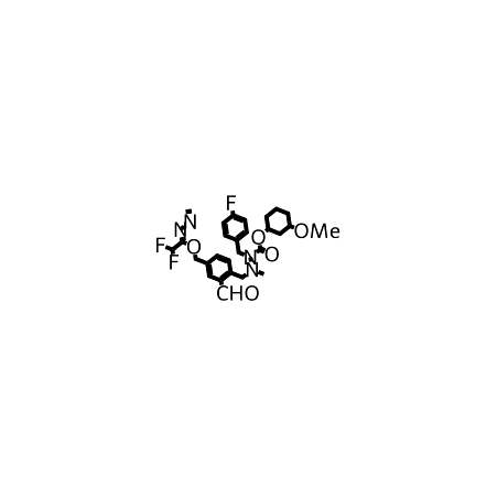 C=N/N=C(\OCc1ccc(CN(C)N(Cc2ccc(F)cc2)C(=O)OC2CCCC(OC)C2)c(C=O)c1)C(F)F